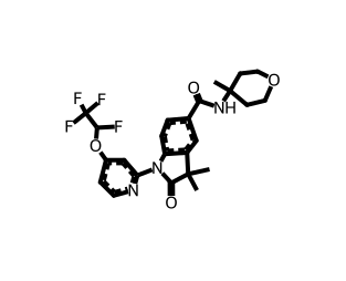 CC1(NC(=O)c2ccc3c(c2)C(C)(C)C(=O)N3c2cc(OC(F)C(F)(F)F)ccn2)CCOCC1